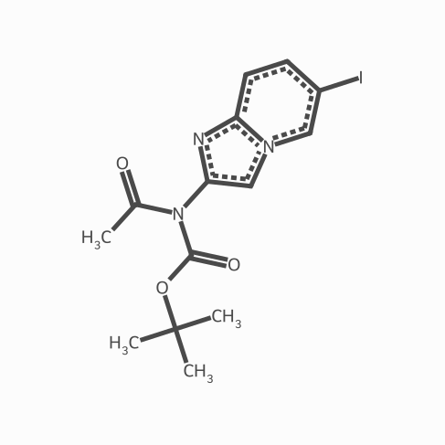 CC(=O)N(C(=O)OC(C)(C)C)c1cn2cc(I)ccc2n1